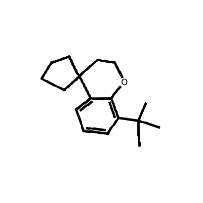 CC(C)(C)c1cccc2c1OCCC21CCCC1